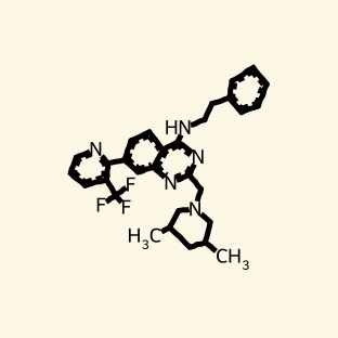 CC1CC(C)CN(Cc2nc(NCCc3ccccc3)c3ccc(-c4ncccc4C(F)(F)F)cc3n2)C1